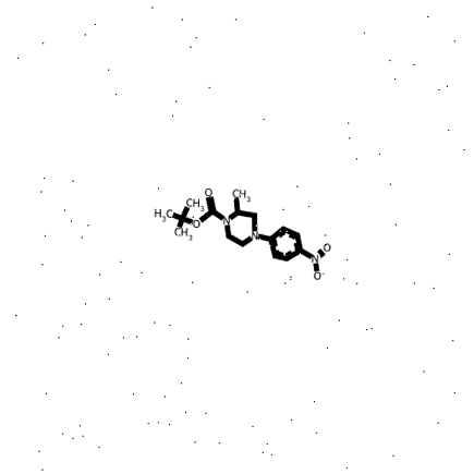 CC1CN(c2ccc([N+](=O)[O-])cc2)CCN1C(=O)OC(C)(C)C